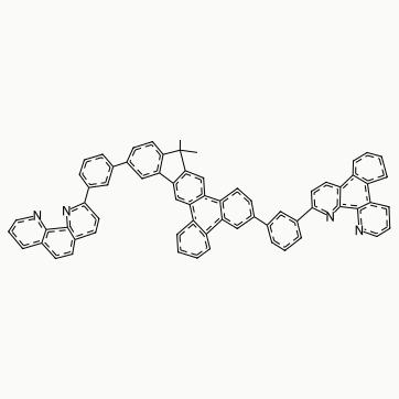 CC1(C)c2ccc(-c3cccc(-c4ccc5ccc6cccnc6c5n4)c3)cc2-c2cc3c4ccccc4c4cc(-c5cccc(-c6ccc7c8ccccc8c8cccnc8c7n6)c5)ccc4c3cc21